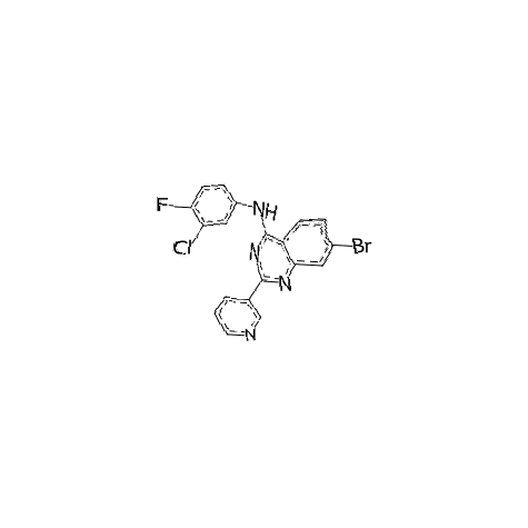 Fc1ccc(Nc2nc(-c3cccnc3)nc3cc(Br)ccc23)cc1Cl